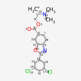 C[C@@H](COC(=O)c1ccc2nc(-c3cc(Cl)cc(Cl)c3)oc2c1)N(C)C